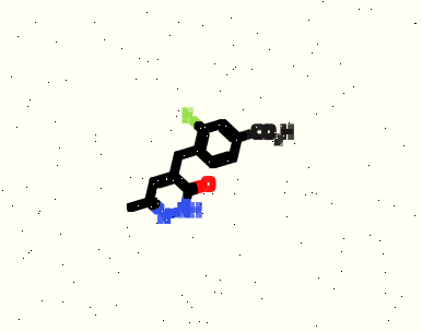 Cc1cc(Cc2ccc(C(=O)O)cc2F)c(=O)[nH]n1